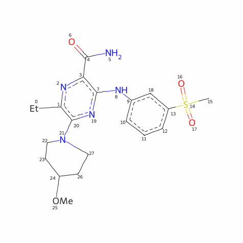 CCc1nc(C(N)=O)c(Nc2cccc(S(C)(=O)=O)c2)nc1N1CCC(OC)CC1